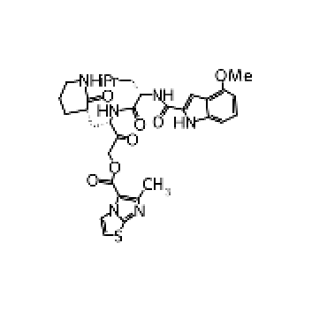 COc1cccc2[nH]c(C(=O)N[C@@H](CC(C)C)C(=O)N[C@@H](C[C@@H]3CCCNC3=O)C(=O)COC(=O)c3c(C)nc4sccn34)cc12